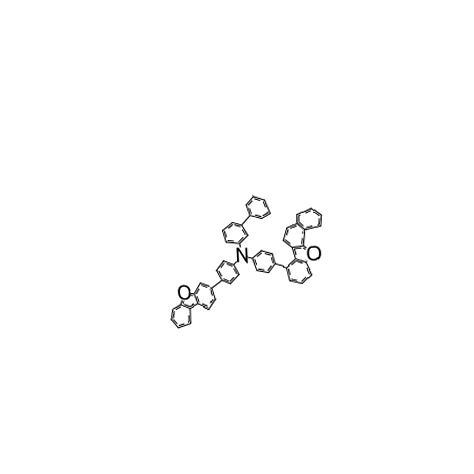 c1ccc(-c2cccc(N(c3ccc(-c4ccc5c(c4)oc4ccccc45)cc3)c3ccc(-c4cccc5oc6c7ccccc7ccc6c45)cc3)c2)cc1